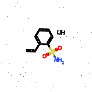 C=Cc1ccccc1S(N)(=O)=O.[LiH]